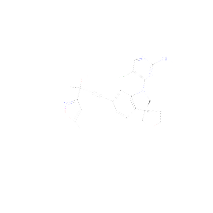 Cc1cc(C(C)(O)C#Cc2ccc3c(c2)N(c2nc(N)ncc2Cl)C[C@]32CCOC2)no1